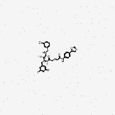 CCc1cccc(CNC[C@@H](O)[C@H](Cc2cc(F)cc(F)c2)NC(=O)CSCC(=O)Nc2ccc(-c3cnco3)cc2)c1